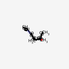 CCC(C)(CCCC(C)(C)C(=O)OCCOC(=O)/C=C/C=C/c1ccc(OC)cc1)C(=O)OCCOC(C)=O